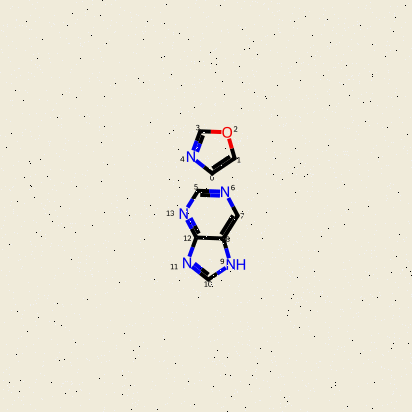 c1cocn1.c1ncc2[nH]cnc2n1